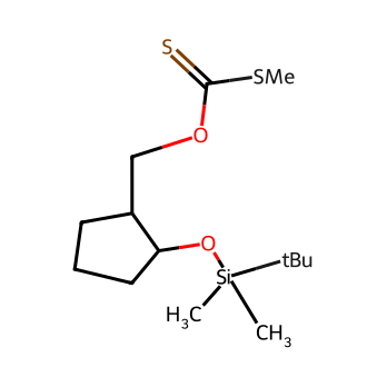 C[SH2]C(=S)OCC1CCCC1O[Si](C)(C)C(C)(C)C